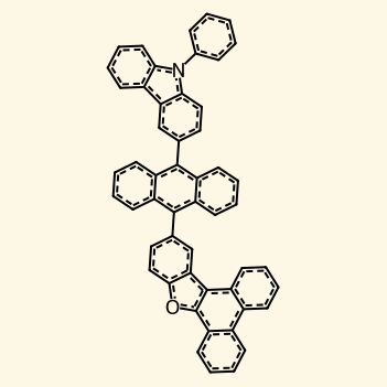 c1ccc(-n2c3ccccc3c3cc(-c4c5ccccc5c(-c5ccc6oc7c8ccccc8c8ccccc8c7c6c5)c5ccccc45)ccc32)cc1